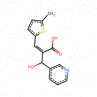 Cc1ccc(C=C(C(=O)O)C(O)c2cccnc2)s1